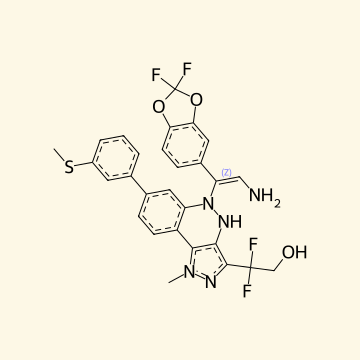 CSc1cccc(-c2ccc3c(c2)N(/C(=C\N)c2ccc4c(c2)OC(F)(F)O4)Nc2c(C(F)(F)CO)nn(C)c2-3)c1